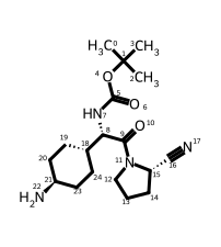 CC(C)(C)OC(=O)N[C@H](C(=O)N1CCC[C@H]1C#N)[C@H]1CC[C@H](N)CC1